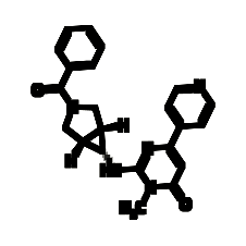 Cn1c(N[C@@H]2[C@@H]3CN(C(=O)c4ccccc4)C[C@@H]32)nc(-c2ccncc2)cc1=O